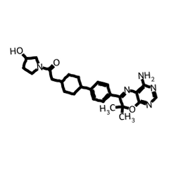 CC1(C)Oc2ncnc(N)c2N=C1c1ccc(C2CCC(CC(=O)N3CCC(O)C3)CC2)cc1